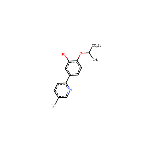 CCOC(=O)C(C)Oc1ccc(-c2ccc(C(F)(F)F)cn2)cc1O